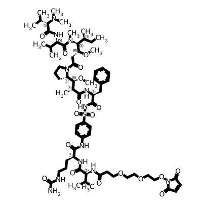 CC[C@H](C)[C@@H]([C@@H](CC(=O)N1CCC[C@H]1[C@H](OC)[C@@H](C)C(=O)N[C@@H](Cc1ccccc1)C(=O)NS(=O)(=O)c1ccc(NC(=O)[C@H](CCCNC(N)=O)NC(=O)[C@@H](NC(=O)CCOCCOCCON2C(=O)C=CC2=O)C(C)C)cc1)OC)N(C)C(=O)[C@@H](NC(=O)[C@H](C(C)C)N(C)C)C(C)C